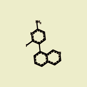 Nc1ccc(-c2cccc3ccncc23)c(I)n1